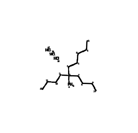 CCCCCC(P)(CCCC)CCCC.Cl.Cl.Cl